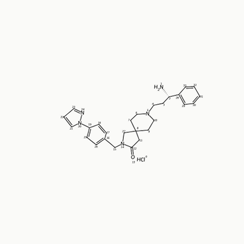 Cl.N[C@@H](CCN1CCC2(CC1)CC(=O)N(Cc1ccc(-n3cccn3)cc1)C2)c1ccccc1